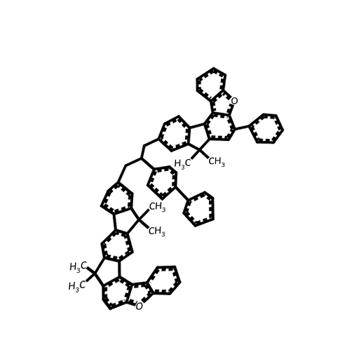 CC1(C)c2cc(CC(Cc3ccc4c(c3)C(C)(C)c3cc(-c5ccccc5)c5oc6ccccc6c5c3-4)c3ccc(-c4ccccc4)cc3)ccc2-c2cc3c(cc21)-c1c(ccc2oc4ccccc4c12)C3(C)C